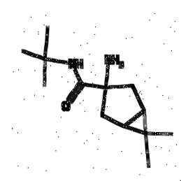 CC(C)(C)NC(=O)C1(N)CC2C(C1)C2(C)C